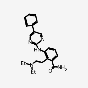 CCN(CC)CCc1c(Nc2ncc(-c3ccccc3)cn2)cccc1C(N)=O